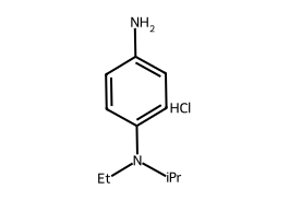 CCN(c1ccc(N)cc1)C(C)C.Cl